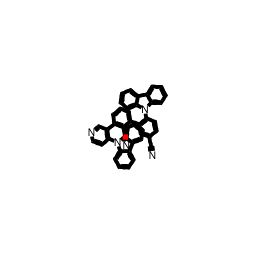 N#Cc1ccc(-n2c3ccccc3c3ccccc32)c(-c2cccc(-c3cnccc3-n3c4ccccc4c4ccccc43)c2C#N)c1